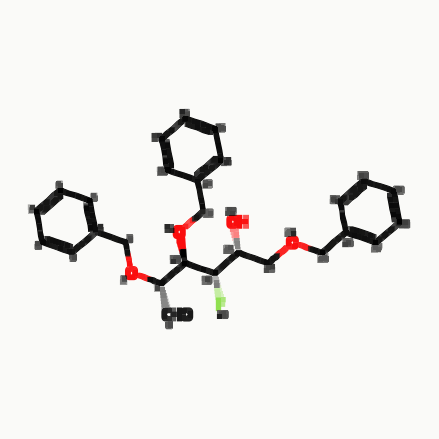 O=C[C@H](OCc1ccccc1)[C@@H](OCc1ccccc1)[C@@H](F)[C@H](O)COCc1ccccc1